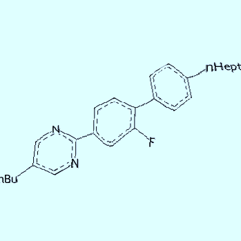 CCCCCCCc1ccc(-c2ccc(-c3ncc(CCCC)cn3)cc2F)cc1